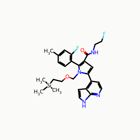 Cc1ccc(-c2c(C(=O)NCCF)cc(-c3ccnc4[nH]ccc34)n2COCC[Si](C)(C)C)c(F)c1